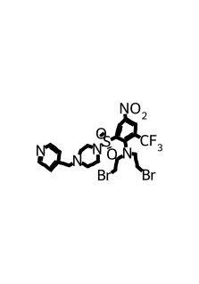 O=[N+]([O-])c1cc(C(F)(F)F)c(N(CCBr)CCBr)c(S(=O)(=O)N2CCN(Cc3ccncc3)CC2)c1